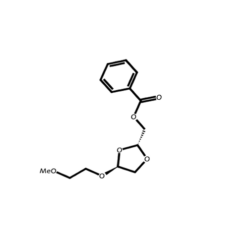 COCCO[C@@H]1CO[C@@H](COC(=O)c2ccccc2)O1